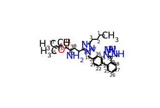 CCCCc1nc(CCC(N)C(=O)OC(C)(C)C)n(Cc2ccc(-c3ccccc3-c3nnn[nH]3)cc2)n1